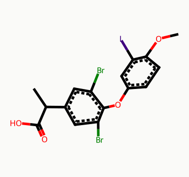 COc1ccc(Oc2c(Br)cc(C(C)C(=O)O)cc2Br)cc1I